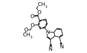 CCOC(=O)c1ccc(N2C=C(C#N)C3C(C#N)=CC=CC32)cc1OCOC